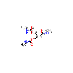 CNC(=O)CC(COC(=O)NC)COC(=O)NC